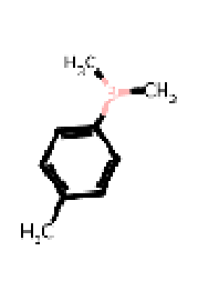 CB(C)c1ccc(C)cc1